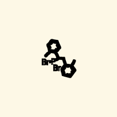 Cc1ccccc1CC(c1ccccc1C)P(Br)Br